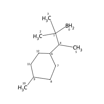 BC(C)(C)C(C)C1CCC(C)CC1